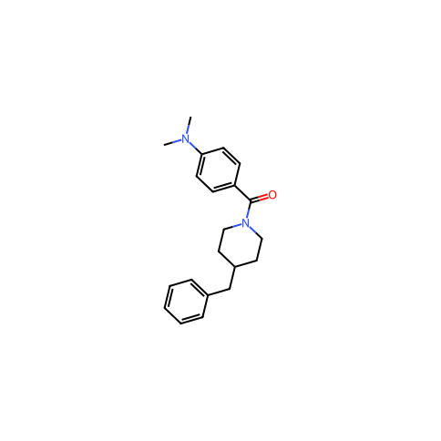 CN(C)c1ccc(C(=O)N2CCC(Cc3ccccc3)CC2)cc1